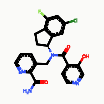 NC(=O)c1ncccc1CN(C(=O)c1ccncc1O)[C@@H]1CCc2c(F)cc(Cl)cc21